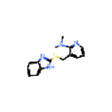 CN(C)c1ncccc1CSc1nc2ccccc2[nH]1